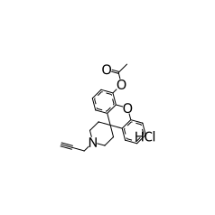 C#CCN1CCC2(CC1)c1ccccc1Oc1c(OC(C)=O)cccc12.Cl